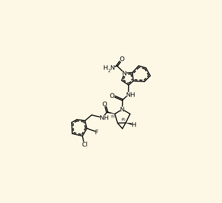 NC(=O)n1cc(NC(=O)N2C[C@@H]3CC3[C@H]2C(=O)NCc2cccc(Cl)c2F)c2ccccc21